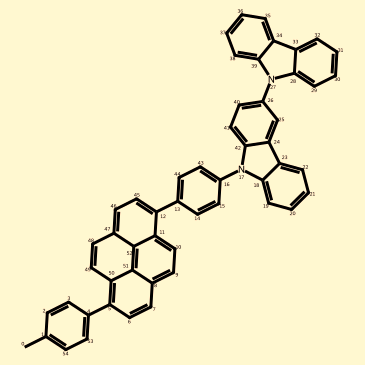 Cc1ccc(-c2ccc3ccc4c(-c5ccc(-n6c7ccccc7c7cc(-n8c9ccccc9c9ccccc98)ccc76)cc5)ccc5ccc2c3c54)cc1